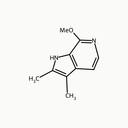 COc1nccc2c(C)c(C)[nH]c12